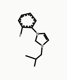 CC(C)CN1C=CN(c2ccccc2F)C1